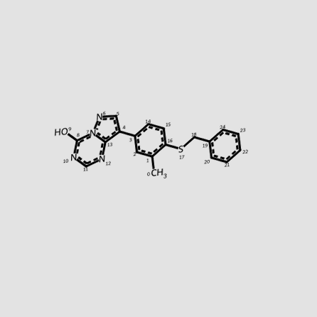 Cc1cc(-c2cnn3c(O)ncnc23)ccc1SCc1ccccc1